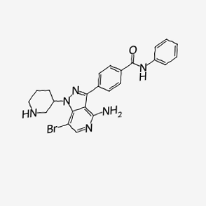 Nc1ncc(Br)c2c1c(-c1ccc(C(=O)Nc3ccccc3)cc1)nn2C1CCCNC1